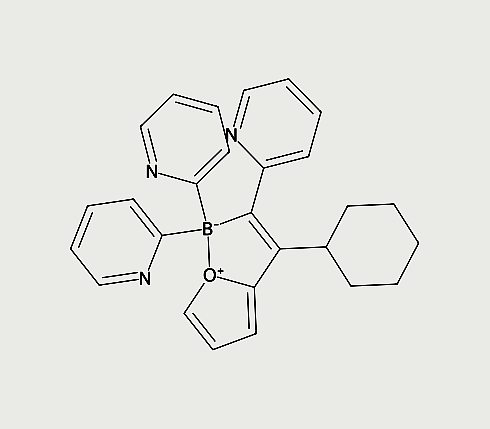 c1ccc(C2=C(C3CCCCC3)c3ccc[o+]3[B-]2(c2ccccn2)c2ccccn2)nc1